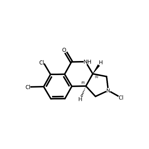 O=C1N[C@@H]2CN(Cl)C[C@H]2c2ccc(Cl)c(Cl)c21